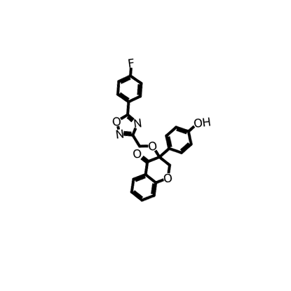 O=C1c2ccccc2OCC1(OCc1noc(-c2ccc(F)cc2)n1)c1ccc(O)cc1